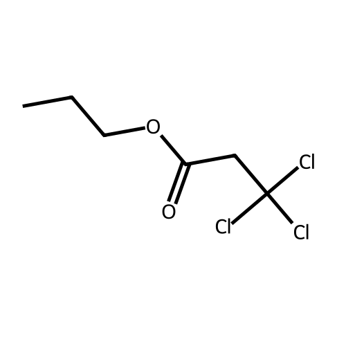 CCCOC(=O)CC(Cl)(Cl)Cl